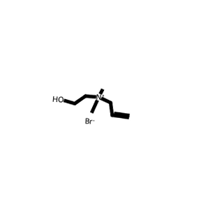 C=CC[N+](C)(C)CCO.[Br-]